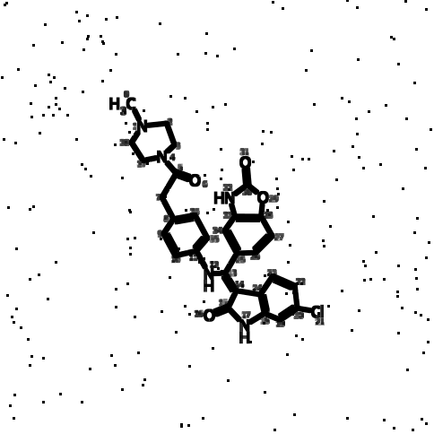 CN1CCN(C(=O)Cc2ccc(N/C(=C3\C(=O)Nc4cc(Cl)ccc43)c3ccc4oc(=O)[nH]c4c3)cc2)CC1